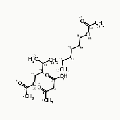 CC(=O)CC(=O)O.CC(=O)OCCC(C)C.CCCCCCOC(C)=O